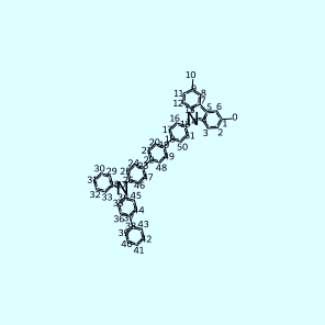 Cc1ccc2c(c1)c1cc(C)ccc1n2-c1ccc(-c2ccc(-c3ccc(N(c4ccccc4)c4ccc(-c5ccccc5)cc4)cc3)cc2)cc1